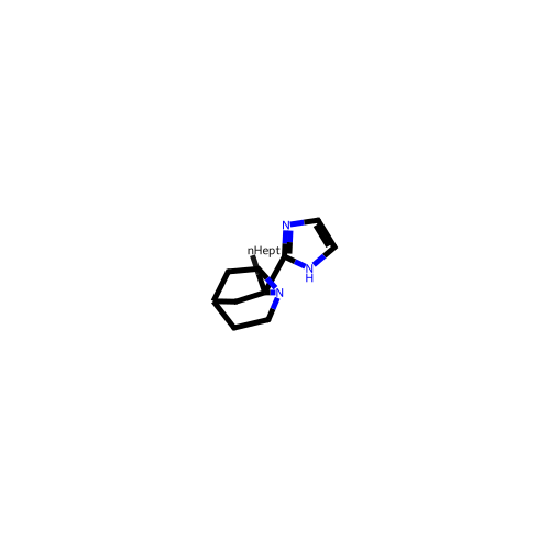 CCCCCCCC1(c2ncc[nH]2)CC2CCN1CC2